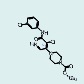 CC(C)(C)OC(=O)N1CCN(/C(C=N)=C(\Cl)C(=O)Nc2cccc(Cl)c2)CC1